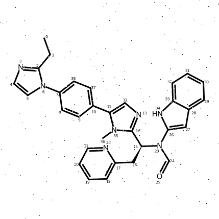 CCc1nccn1-c1ccc(-c2cnc([C@H](Cc3ccccn3)N(C=O)c3cc4ccccc4[nH]3)n2C)cc1